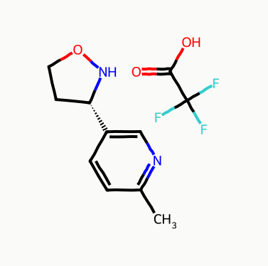 Cc1ccc([C@@H]2CCON2)cn1.O=C(O)C(F)(F)F